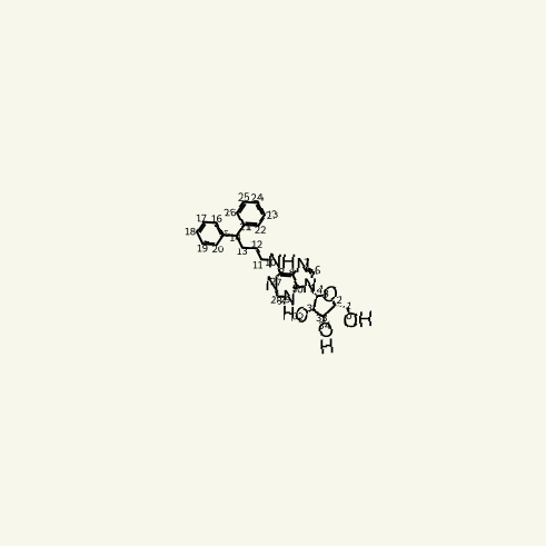 OC[C@H]1O[C@@H](n2cnc3c(NCCCC(c4ccccc4)c4ccccc4)ncnc32)[C@H](O)[C@@H]1O